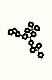 c1ccc(-n2c3ccccc3c3c(-c4ccc(N(c5ccc(-c6ccc7c(ccc8ccccc87)c6)cc5)c5cccc([Si](c6ccccc6)(c6ccccc6)c6ccccc6)c5)cc4)cccc32)cc1